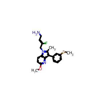 COc1ccc2c(n1)c(-c1cccc(SC)c1)c(C)n2C/C(F)=C/CN